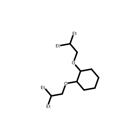 CCC(CC)COC1CCCCC1OCC(CC)CC